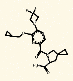 NC(=O)C1CC2(CC2)CN1C(=O)c1ccc(N2CC(F)(F)C2)c(OCC2CC2)n1